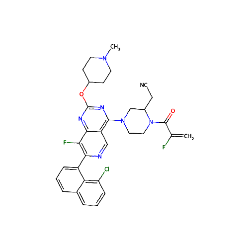 C=C(F)C(=O)N1CCN(c2nc(OC3CCN(C)CC3)nc3c(F)c(-c4cccc5cccc(Cl)c45)ncc23)CC1CC#N